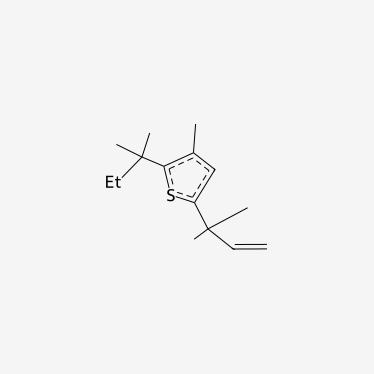 C=CC(C)(C)c1cc(C)c(C(C)(C)CC)s1